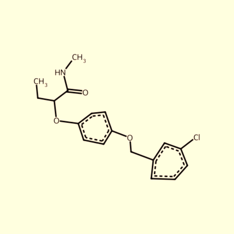 CCC(Oc1ccc(OCc2cccc(Cl)c2)cc1)C(=O)NC